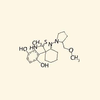 CNC(=S)C1(c2cc(O)ccc2O)CCCCC1=NN1CCCC1COC